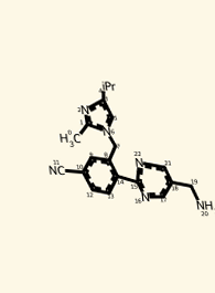 Cc1nc(C(C)C)cn1Cc1cc(C#N)ccc1-c1ncc(CN)cn1